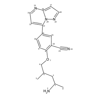 CC(N)CC(C)COc1ccc(-c2ccnc3ccnn23)cc1C#N